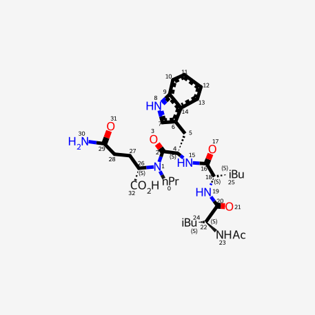 CCCN(C(=O)[C@H](Cc1c[nH]c2ccccc12)NC(=O)[C@@H](NC(=O)[C@@H](NC(C)=O)[C@@H](C)CC)[C@@H](C)CC)[C@@H](CCC(N)=O)C(=O)O